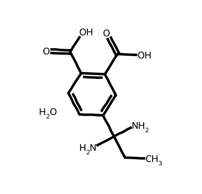 CCC(N)(N)c1ccc(C(=O)O)c(C(=O)O)c1.O